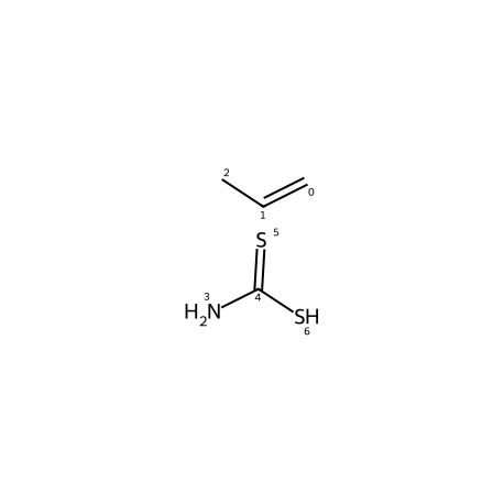 C=CC.NC(=S)S